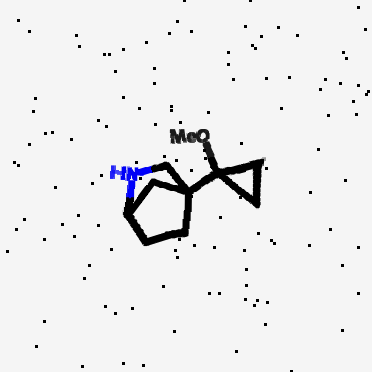 COC1(C23CCC(C2)NC3)CC1